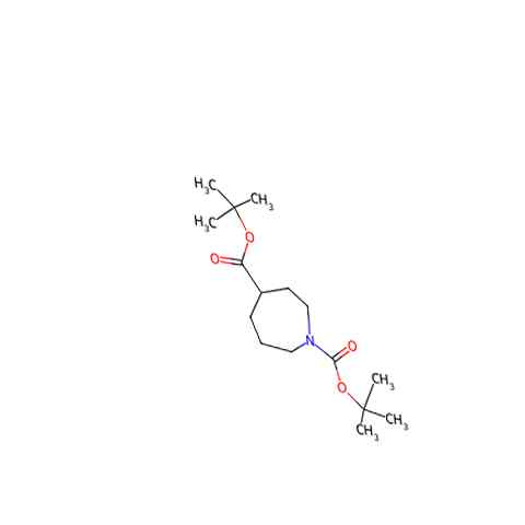 CC(C)(C)OC(=O)C1CCCN(C(=O)OC(C)(C)C)CC1